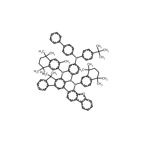 Cc1cc2c(cc1N1c3cc(N(c4ccc(-c5ccccc5)cc4)c4ccc(C(C)(C)C)cc4)ccc3B3c4c(cc5c(c41)C(C)(C)c1ccccc1-5)-c1ccc4c(oc5ccccc54)c1N3c1ccc3c(c1)C(C)(C)CCC3(C)C)C(C)(C)CCC2(C)C